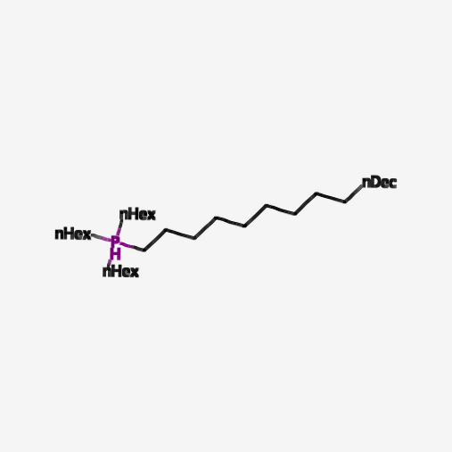 CCCCCCCCCCCCCCCCCCC[PH](CCCCCC)(CCCCCC)CCCCCC